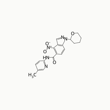 Cc1ccc(NC(=O)c2ccc3c(cnn3C3CCCCO3)c2[N+](=O)[O-])nc1